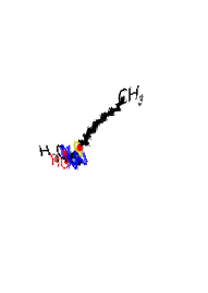 CCCCCCCCCCCCCCCCSc1ncnc2c(O)n(C)nc12